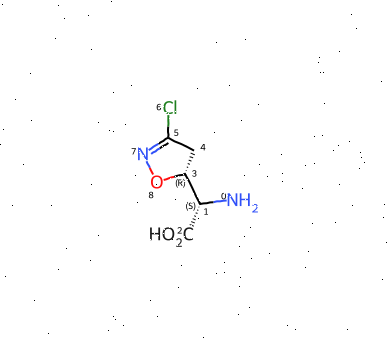 N[C@H](C(=O)O)[C@H]1CC(Cl)=NO1